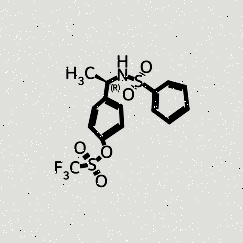 C[C@@H](NS(=O)(=O)c1ccccc1)c1ccc(OS(=O)(=O)C(F)(F)F)cc1